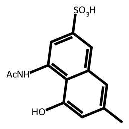 CC(=O)Nc1cc(S(=O)(=O)O)cc2cc(C)cc(O)c12